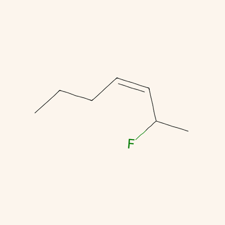 CCC/C=C\C(C)F